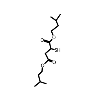 CC(C)CCOC(=O)CC(S)C(=O)OCCC(C)C